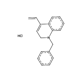 C=CC1=CCN(Cc2ccccc2)c2ccccc21.Cl